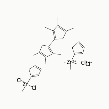 CC1=C(C)C(C)=C(C2=C(C)C(C)=C(C)C2)C1.[CH3][Zr+2]([CH3])([CH3])[C]1=CC=CC1.[CH3][Zr]([Cl])([Cl])[C]1=CC=CC1.[Cl-].[Cl-]